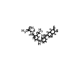 COc1cc(Nc2nccc(Nc3cnc4cc(F)c(F)cc4c3)n2)cnc1N1CC(N(C)C)C1